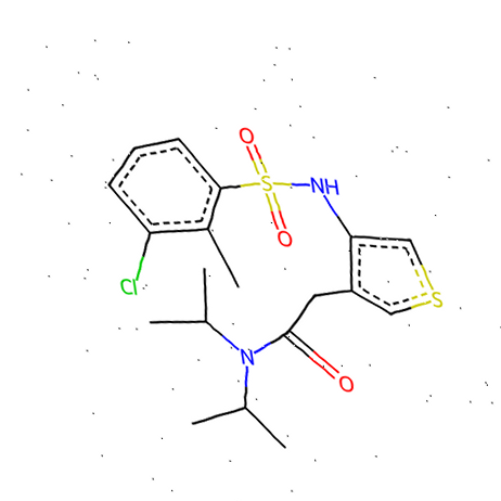 Cc1c(Cl)cccc1S(=O)(=O)Nc1cscc1CC(=O)N(C(C)C)C(C)C